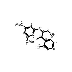 COc1cc(OC)nc(SC(CO)C(C)c2ccccc2Cl)n1